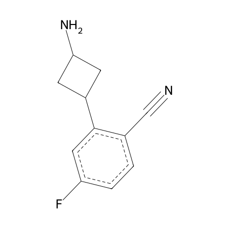 N#Cc1ccc(F)cc1C1CC(N)C1